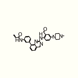 C=CC(=O)Nc1cccc(-c2cccc3cnc(Nc4ccc(N5CCN(C)CC5)cc4C=O)nc23)c1